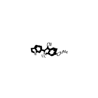 CCN1c2cc(OC)ccc2C(C#N)C1c1ccc2c(c1)N=CC2